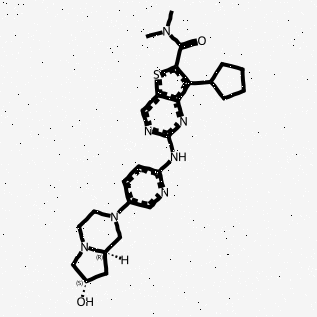 CN(C)C(=O)c1sc2cnc(Nc3ccc(N4CCN5C[C@@H](O)C[C@@H]5C4)cn3)nc2c1C1CCCC1